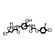 CCC1CC(C(=O)NC23CCC(NC(=O)COc4ccc(Cl)c(F)c4)(CC2)C(O)C3)NO1